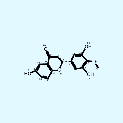 COc1c(O)cc([C@H]2CC(=O)c3cc(O)ccc3O2)cc1O